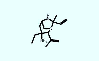 C=CC1(C)NC2CN1C(C(=C)C)C(N)(CC)C2